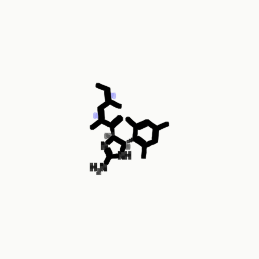 C=C(/C(C)=C\C(C)=C/C)[C@@H]1N=C(N)N[C@H]1c1c(C)cc(C)cc1C